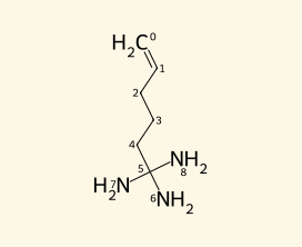 C=CCCCC(N)(N)N